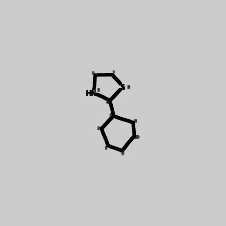 C1CCC(C2NCCS2)CC1